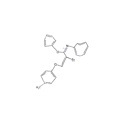 CCC(=COc1ccc(C)cc1)/C(=N\c1ccccc1)Oc1ccccc1